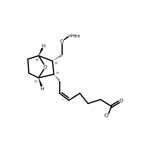 CCCCCCOC[C@@H]1[C@H](C/C=C\CCCC(=O)Cl)[C@@H]2CC[C@H]1O2